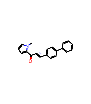 Cn1cccc1C(=O)/C=C/c1ccc(-c2ccccc2)cc1